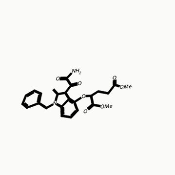 COC(=O)CCC(Oc1cccc2c1C(C(=O)C(N)=O)C(C)N2Cc1ccccc1)C(=O)OC